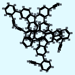 N#Cc1ccc(-n2c3ccc(-c4ccccc4C#N)cc3c3cc(-c4ccccc4C#N)ccc32)c(-c2nc(-c3ccccc3)nc(-c3cc(C#N)ccc3-n3c4ccc(-c5ccccc5C#N)cc4c4cc(-c5ccccc5C#N)ccc43)n2)c1